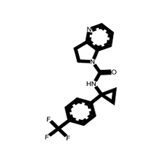 O=C(NC1(c2ccc(C(F)(F)F)cc2)CC1)N1CCc2ncccc21